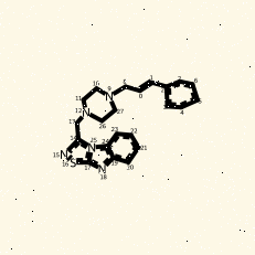 C(=C\c1ccccc1)/CN1CCN(Cc2nsc3nc4ccccc4n23)CC1